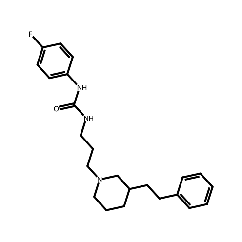 O=C(NCCCN1CCCC(CCc2ccccc2)C1)Nc1ccc(F)cc1